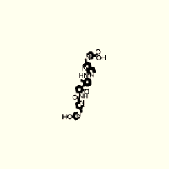 Cc1c(Nc2nccc3cc(CN4CCC(C(=O)O)C4)cnc23)cccc1-c1cccc(NC(=O)c2ccc(CN3CCC(O)C3)cn2)c1Cl